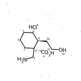 Cl.NC[C@@]1(C(=O)O)CCCC[C@H]1CCO